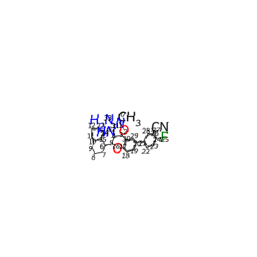 CN(OC1C[C@H](C2CCCc3ccccc32)Oc2ccc(-c3ccc(F)c(C#N)c3)cc21)C(=N)N